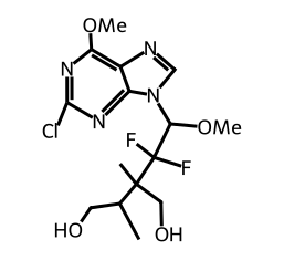 COc1nc(Cl)nc2c1ncn2C(OC)C(F)(F)C(C)(CO)C(C)CO